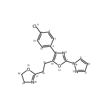 Clc1ccc(-c2nc(-n3cccn3)oc2CCC2=NCCO2)cc1